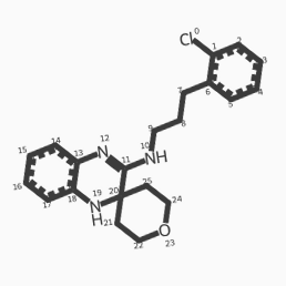 Clc1ccccc1CCCNC1=Nc2ccccc2NC12CCOCC2